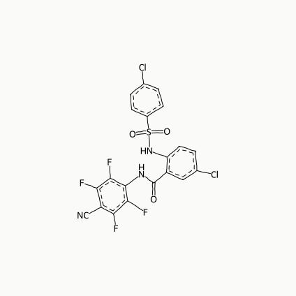 N#Cc1c(F)c(F)c(NC(=O)c2cc(Cl)ccc2NS(=O)(=O)c2ccc(Cl)cc2)c(F)c1F